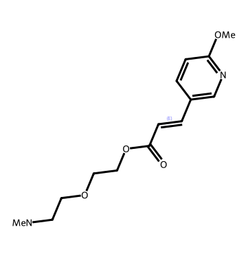 CNCCOCCOC(=O)/C=C/c1ccc(OC)nc1